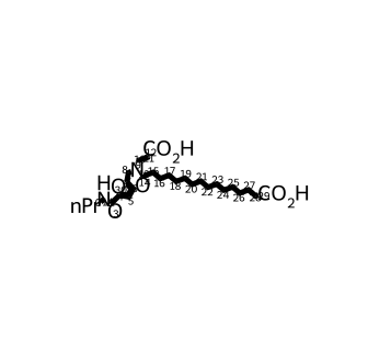 CCCNC(=O)c1ccc(CN(CCC(=O)O)C(=O)CCCCCCCCCCCCCCC(=O)O)o1